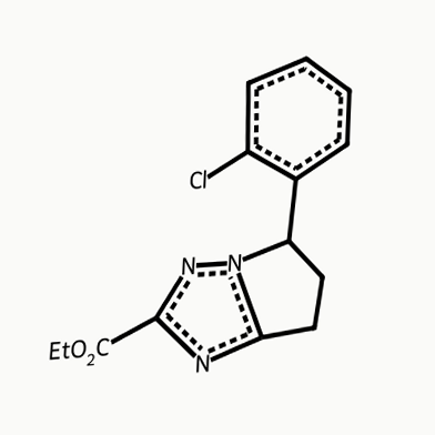 CCOC(=O)c1nc2n(n1)C(c1ccccc1Cl)CC2